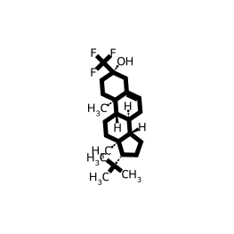 CC(C)(C)[C@H]1CC[C@H]2[C@@H]3CC=C4C[C@](O)(C(F)(F)F)CC[C@]4(C)[C@H]3CC[C@]12C